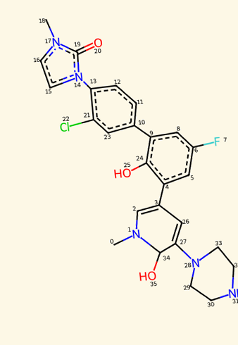 CN1C=C(c2cc(F)cc(-c3ccc(-n4ccn(C)c4=O)c(Cl)c3)c2O)C=C(N2CCNCC2)C1O